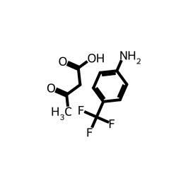 CC(=O)CC(=O)O.Nc1ccc(C(F)(F)F)cc1